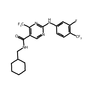 O=C(NCC1CCCCC1)c1cnc(Nc2ccc(C(F)(F)F)c(F)c2)nc1C(F)(F)F